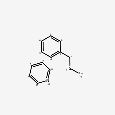 SSCc1ccccc1.c1ccncc1